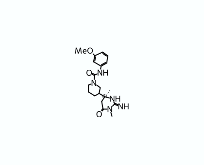 COc1cccc(NC(=O)N2CCCC([C@]3(C)CC(=O)N(C)C(=N)N3)C2)c1